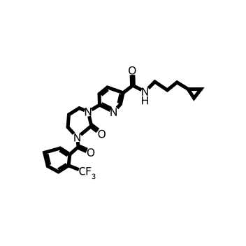 O=C(NCCCC1CC1)c1ccc(N2CCCN(C(=O)c3ccccc3C(F)(F)F)C2=O)nc1